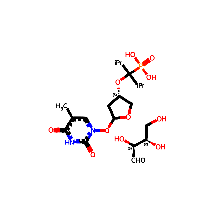 Cc1cn(OC2C[C@H](OC(C(C)C)(C(C)C)P(=O)(O)O)CO2)c(=O)[nH]c1=O.O=C[C@@H](O)[C@H](O)CO